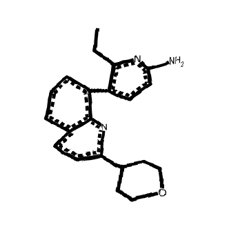 CCc1nc(N)ccc1-c1cccc2ccc(C3CCOCC3)nc12